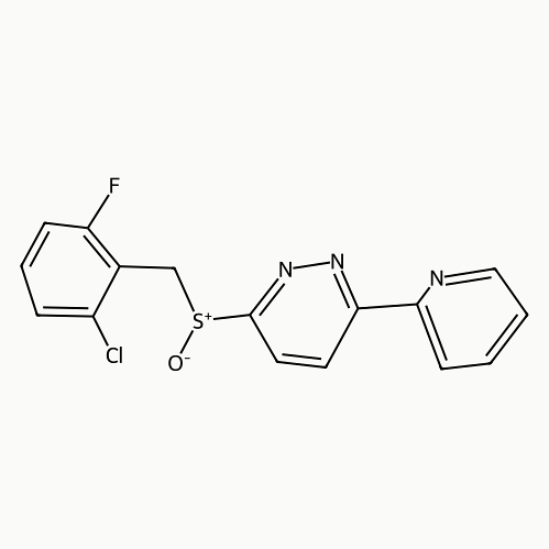 [O-][S+](Cc1c(F)cccc1Cl)c1ccc(-c2ccccn2)nn1